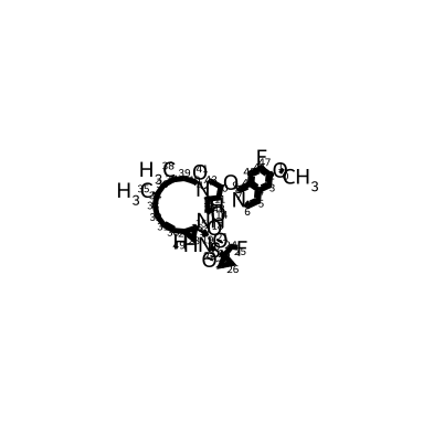 COc1cc2ccnc(O[C@@H]3C[C@H]4C(=O)N[C@]5(C(=O)NS(=O)(=O)C6(CF)CC6)C[C@H]5/C=C\CC[C@@H](C)C[C@@H](C)CC(=O)N4C3)c2cc1F